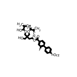 C=C(C)C(=C)OCC(CO)(CCOC(=O)c1ccc(-c2ccc(CCCCCCCC)cc2)c(F)c1)COC(O)C(=C)C